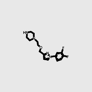 Fc1ccc(-n2ccc(COCCN3CCNCC3)n2)cc1F